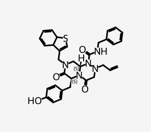 C=CCN1CC(=O)N2[C@@H](Cc3ccc(O)cc3)C(=O)N(CC3=CSC4C=CC=CC34)C[C@@H]2N1C(=O)NCc1ccccc1